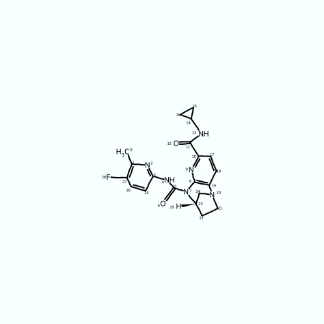 Cc1nc(NC(=O)N2c3nc(C(=O)NC4CC4)ccc3N3CC[C@H]2C3)ccc1F